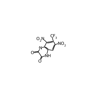 O=C1[N]c2c(cc([N+](=O)[O-])c(C(F)(F)F)c2[N+](=O)[O-])NC1=O